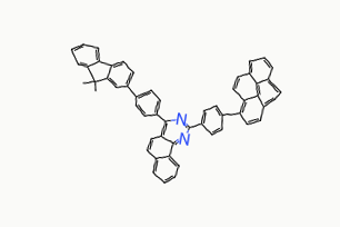 CC1(C)c2ccccc2-c2ccc(-c3ccc(-c4nc(-c5ccc(-c6ccc7ccc8cccc9ccc6c7c89)cc5)nc5c4ccc4ccccc45)cc3)cc21